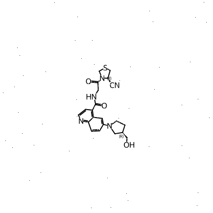 N#C[C@@H]1CSCN1C(=O)CNC(=O)c1ccnc2ccc(N3CC[C@@H](CO)C3)cc12